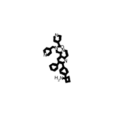 NC1(c2ccc(-c3nc4ccnc(CN(Cc5ccncc5)C(=O)c5ccncc5)c4cc3-c3ccccc3)cc2)CCC1